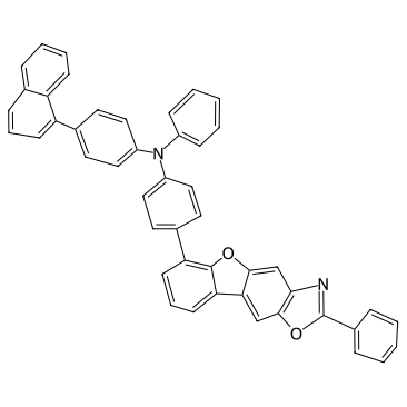 c1ccc(-c2nc3cc4oc5c(-c6ccc(N(c7ccccc7)c7ccc(-c8cccc9ccccc89)cc7)cc6)cccc5c4cc3o2)cc1